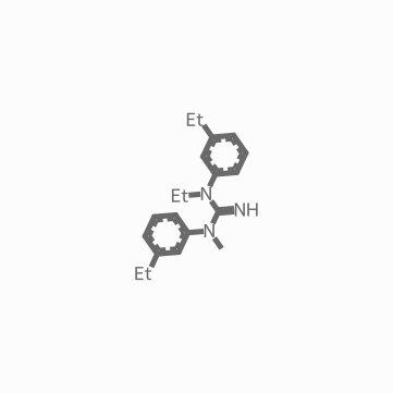 CCc1cccc(N(C)C(=N)N(CC)c2cccc(CC)c2)c1